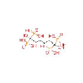 O=P(O)(O)C(O)(CCCCC(O)(P(=O)(O)O)P(=O)(O)O)P(=O)(O)O